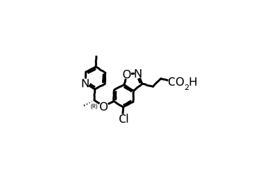 Cc1ccc([C@@H](C)Oc2cc3onc(CCC(=O)O)c3cc2Cl)nc1